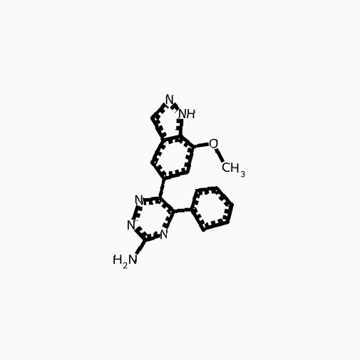 COc1cc(-c2nnc(N)nc2-c2ccccc2)cc2cn[nH]c12